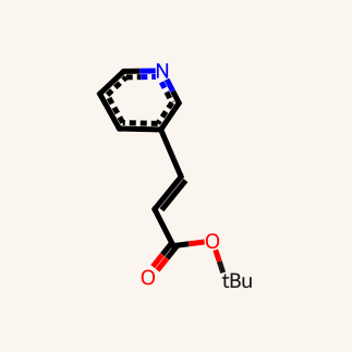 CC(C)(C)OC(=O)C=Cc1cccnc1